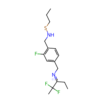 CCCSNCc1ccc(C/N=C(\CC)C(C)(F)F)cc1F